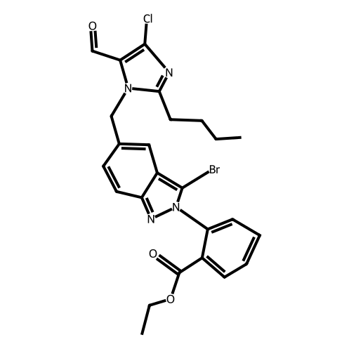 CCCCc1nc(Cl)c(C=O)n1Cc1ccc2nn(-c3ccccc3C(=O)OCC)c(Br)c2c1